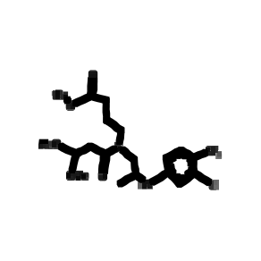 COC(CC(=O)N(CCCC(=O)OC(C)(C)C)CC(C)Nc1ccc(C(F)(F)F)c(Cl)c1)OC